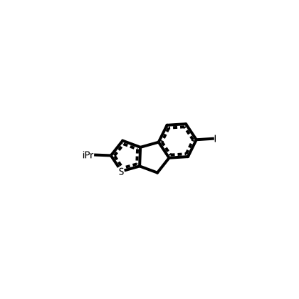 CC(C)c1cc2c(s1)Cc1cc(I)ccc1-2